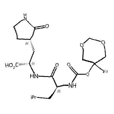 CCC1(OC(=O)N[C@@H](CC(C)C)C(=O)N[C@@H](C[C@@H]2CCNC2=O)C(=O)O)COCOC1